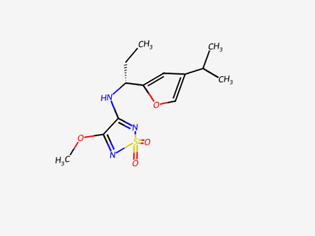 CC[C@@H](NC1=NS(=O)(=O)N=C1OC)c1cc(C(C)C)co1